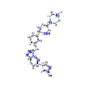 CN1CCN(C2=CN=C(c3cccc(Cc4nnc5ccc(-c6cnn(C)c6)nn45)c3)NC2)CC1